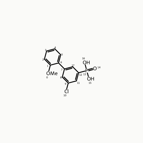 COc1ccccc1-c1cc(Cl)cc(P(=O)(O)O)c1